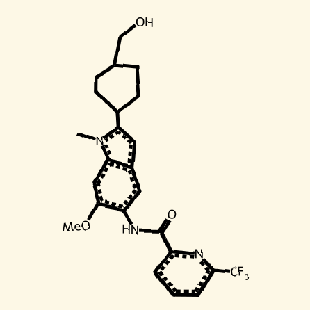 COc1cc2c(cc1NC(=O)c1cccc(C(F)(F)F)n1)cc(C1CCC(CO)CC1)n2C